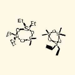 C=C[Si]1(C=C)O[Si](C)(C)O[Si](C)(C)O1.CC[Si]1(CC)O[Si](C)(C)O[Si](CC)(CC)O1